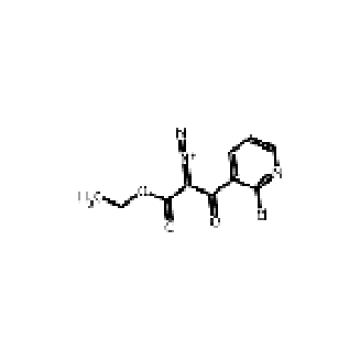 CCOC(=O)C(=[N+]=[N-])C(=O)c1cccnc1Cl